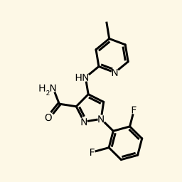 Cc1ccnc(Nc2cn(-c3c(F)cccc3F)nc2C(N)=O)c1